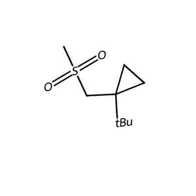 CC(C)(C)C1(CS(C)(=O)=O)CC1